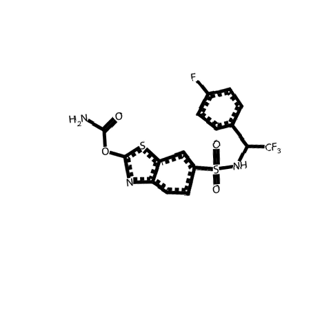 NC(=O)Oc1nc2ccc(S(=O)(=O)NC(c3ccc(F)cc3)C(F)(F)F)cc2s1